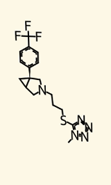 Cn1nnnc1SCCCN1CC2C[C@]2(c2ccc(C(F)(F)F)cc2)C1